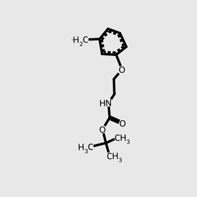 [CH2]c1cccc(OCCNC(=O)OC(C)(C)C)c1